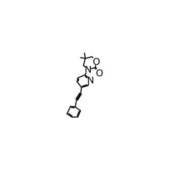 CC1(C)COC(=O)N(c2ccc(C#Cc3ccccc3)cn2)C1